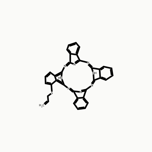 C=CCSc1cccc2c3nc4nc(nc5[nH]c(nc6nc(nc([nH]3)c12)-c1ccccc1-6)c1ccccc51)-c1ccccc1-4